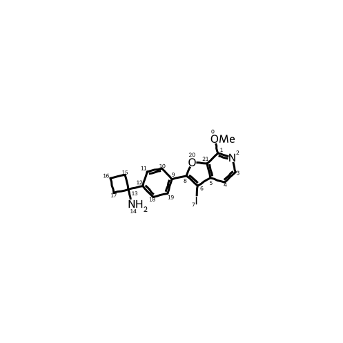 COc1nccc2c(I)c(-c3ccc(C4(N)CCC4)cc3)oc12